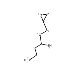 [SiH2]CCC(S)OCC1CO1